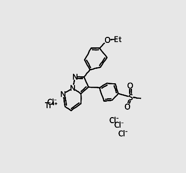 CCOc1ccc(-c2nn3ncccc3c2-c2ccc(S(C)(=O)=O)cc2)cc1.[Cl-].[Cl-].[Cl-].[Cl-].[Ti+4]